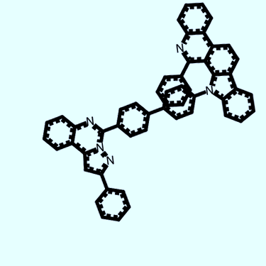 c1ccc(-c2cc3c4ccccc4nc(-c4ccc(-c5ccc(-n6c7ccccc7c7ccc8c9ccccc9nc(-c9ccccc9)c8c76)cc5)cc4)n3n2)cc1